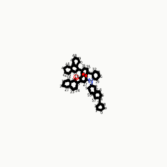 c1ccc(-c2ccc3cc(N(c4ccc5oc6c7ccccc7ccc6c5c4)c4ccccc4-c4ccc(-c5cc6ccccc6c6ccccc56)cc4)ccc3c2)cc1